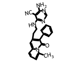 Cc1cccc2cc(CCNc3ncnc(N)c3C#N)c(-c3ccccc3)c(=O)n12